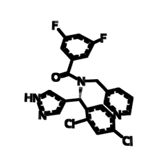 O=C(c1cc(F)cc(F)c1)N(Cc1cccnc1)[C@@H](c1cn[nH]c1)c1ccc(Cl)cc1Cl